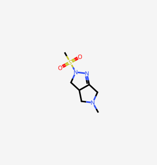 CN1CC2=NN(S(C)(=O)=O)CC2C1